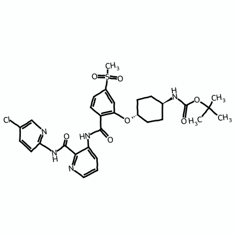 CC(C)(C)OC(=O)N[C@H]1CC[C@H](Oc2cc(S(C)(=O)=O)ccc2C(=O)Nc2cccnc2C(=O)Nc2ccc(Cl)cn2)CC1